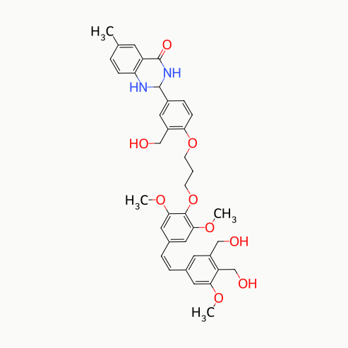 COc1cc(/C=C\c2cc(OC)c(OCCCOc3ccc(C4NC(=O)c5cc(C)ccc5N4)cc3CO)c(OC)c2)cc(CO)c1CO